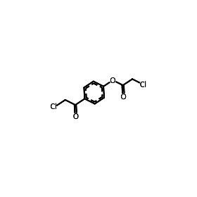 O=C(CCl)Oc1ccc(C(=O)CCl)cc1